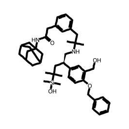 CC(C)(Cc1cccc(CC(=O)NC23CC4CC(CC(C4)C2)C3)c1)NC[C@H](CC(C)(C)[Si](C)(C)O)c1ccc(OCc2ccccc2)c(CO)c1